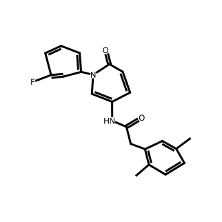 Cc1ccc(C)c(CC(=O)Nc2ccc(=O)n(-c3cccc(F)c3)c2)c1